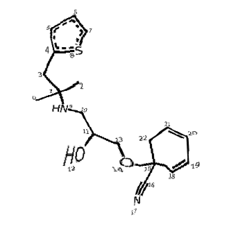 CC(C)(Cc1cccs1)NCC(O)COC1(C#N)C=CC=CC1